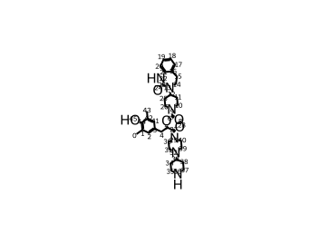 Cc1cc(CC(OC(=O)N2CCC(N3CCc4ccccc4NC3=O)CC2)C(=O)N2CCN(C3CCNCC3)CC2)cc(C)c1O